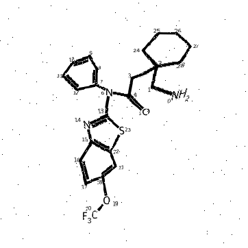 NCC1(CC(=O)N(c2ccccc2)c2nc3ccc(OC(F)(F)F)cc3s2)CCCCC1